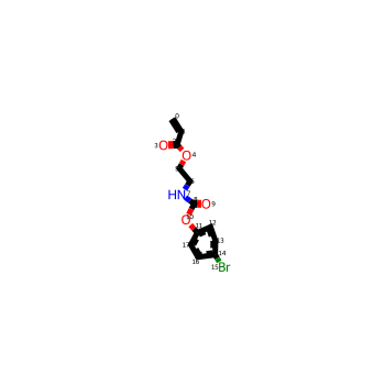 C=CC(=O)OCCNC(=O)Oc1ccc(Br)cc1